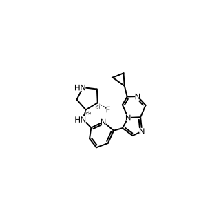 F[C@H]1CNC[C@@H]1Nc1cccc(-c2cnc3cnc(C4CC4)cn23)n1